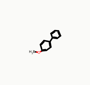 BOc1ccc(-c2ccccc2)cc1